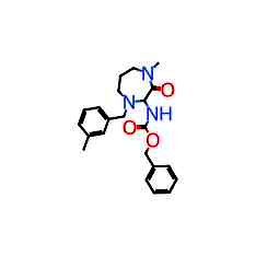 Cc1cccc(CN2CCCN(C)C(=O)C2NC(=O)OCc2ccccc2)c1